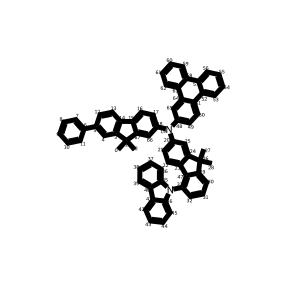 CC1(C)c2cc(-c3ccccc3)ccc2-c2ccc(N(c3ccc4c(c3)C(C)(C)c3cccc(-n5c6ccccc6c6ccccc65)c3-4)c3ccc4c5ccccc5c5ccccc5c4c3)cc21